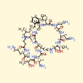 CC[C@H](C)CCCCC(=O)N[C@H](CCCN)C(=O)N[C@H](C(=O)N[C@@H](CCN)C(=O)NC1CCNC(=O)[C@@H]([C@H](C)O)NC(=O)[C@H](CCN)NC(=O)[C@H](CCN)NC(=O)C(CC(C)C)NC(=O)[C@@H](Cc2ccccc2)NC(=O)[C@@H](CCN)NC1=O)[C@@H](C)O